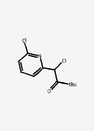 CC(C)(C)C(=O)C(Cl)c1cccc(Cl)n1